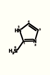 [SiH3]c1ncc[nH]1